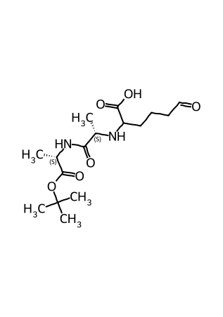 C[C@H](NC(CCCC=O)C(=O)O)C(=O)N[C@@H](C)C(=O)OC(C)(C)C